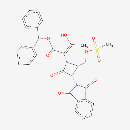 C/C(O)=C(/C(=O)OC(c1ccccc1)c1ccccc1)N1C(=O)[C@@H](N2C(=O)c3ccccc3C2=O)[C@H]1COS(C)(=O)=O